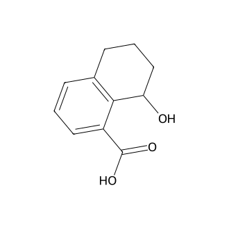 O=C(O)c1cccc2c1C(O)CCC2